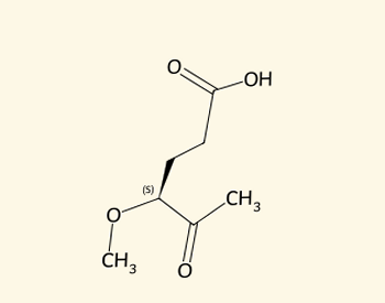 CO[C@@H](CCC(=O)O)C(C)=O